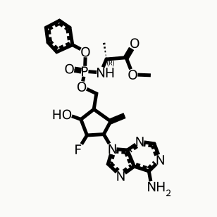 C=C1C(COP(=O)(N[C@H](C)C(=O)OC)Oc2ccccc2)C(O)C(F)C1n1cnc2c(N)ncnc21